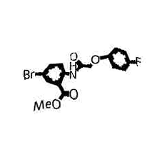 COC(=O)c1cc(Br)ccc1NC(=O)COc1ccc(F)cc1